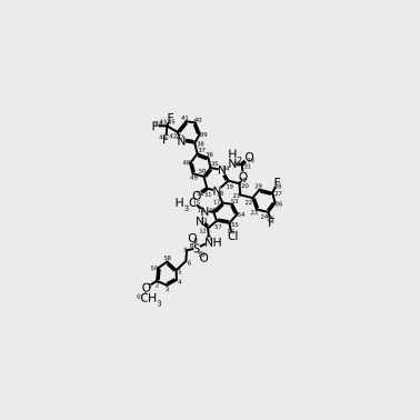 COc1ccc(CCS(=O)(=O)Nc2nn(C)c3c(-n4c(C(Cc5cc(F)cc(F)c5)OC(N)=O)nc5cc(-c6cccc(C(F)(F)F)n6)ccc5c4=O)ccc(Cl)c23)cc1